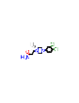 CC(CC(N)=O)N1CCN(c2ccc(Cl)c(Cl)c2)CC1